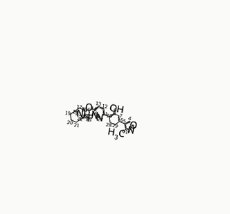 Cc1nocc1C1=CC(O)=C(c2ccc(O[C@H]3CC4CCCC(N4)[C@H]3F)nn2)CC1